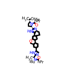 CCCC(=O)N([C@@H](C)CC)[C@@H](C)c1ncc(-c2ccc3c(c2)COc2cc4c(ccc5nc([C@@H]6CC[C@H](C(C)OC)N6C(=O)CCC)[nH]c54)cc2-3)[nH]1